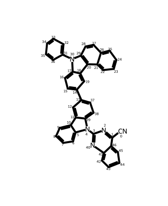 N#Cc1nc(-n2c3ccccc3c3cc(-c4ccc5c(c4)c4c6ccccc6ccc4n5-c4ccccc4)ccc32)nc2ccccc12